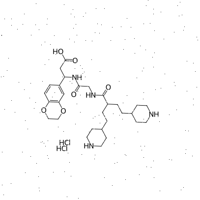 Cl.Cl.O=C(O)CC(NC(=O)CNC(=O)C(CCC1CCNCC1)CCC1CCNCC1)c1ccc2c(c1)OCCO2